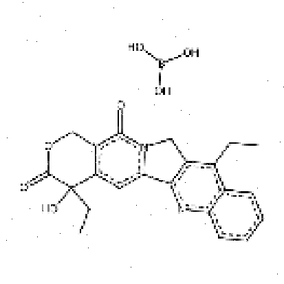 CCc1c2c(nc3ccccc13)-c1cc3c(c(=O)n1C2)COC(=O)C3(O)CC.OB(O)O